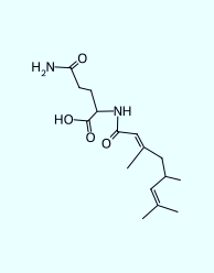 CC(C)=CC(C)C/C(C)=C/C(=O)NC(CCC(N)=O)C(=O)O